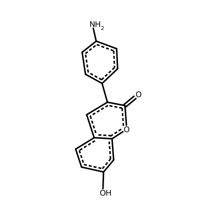 Nc1ccc(-c2cc3ccc(O)cc3oc2=O)cc1